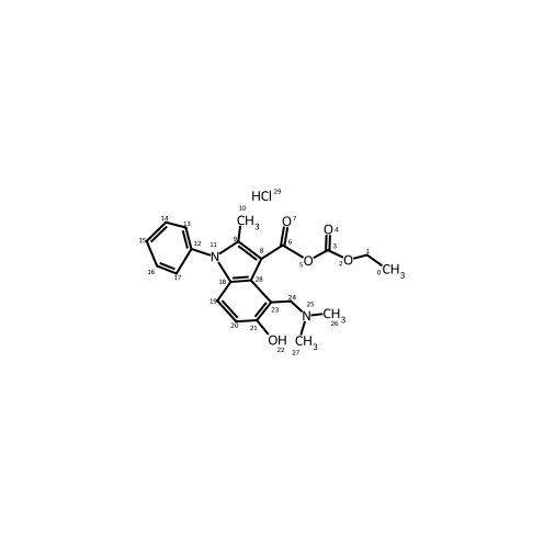 CCOC(=O)OC(=O)c1c(C)n(-c2ccccc2)c2ccc(O)c(CN(C)C)c12.Cl